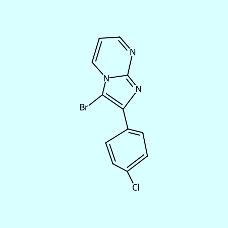 Clc1ccc(-c2nc3ncccn3c2Br)cc1